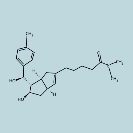 Cc1ccc([C@H](O)[C@@H]2[C@H]3CC(CCCCC(=O)N(C)C)=C[C@H]3C[C@H]2O)cc1